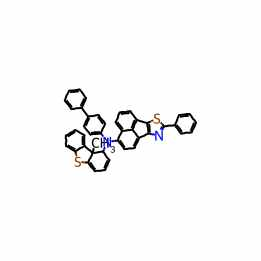 CC12C(=CC=CC1N(c1ccc(-c3ccccc3)cc1)c1ccc3c4c(cccc14)-c1sc(-c4ccccc4)nc1-3)Sc1ccccc12